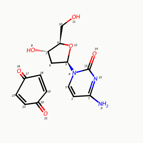 Nc1ccn([C@H]2C[C@H](O)[C@@H](CO)O2)c(=O)n1.O=C1C=CC(=O)C=C1